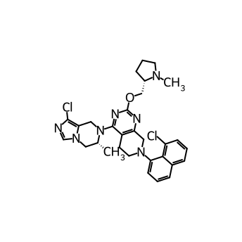 C[C@@H]1Cn2cnc(Cl)c2CN1c1nc(OC[C@@H]2CCCN2C)nc2c1CCN(c1cccc3cccc(Cl)c13)C2